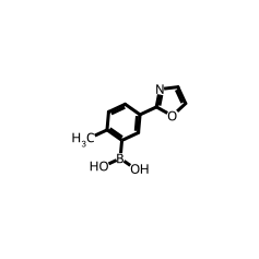 Cc1ccc(-c2ncco2)cc1B(O)O